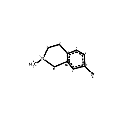 CN1CCc2ccc(Br)cc2C1